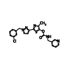 Cc1nc(-c2ccn(Cc3cccc(Cl)c3)n2)sc1OC(=O)NCc1cccnc1